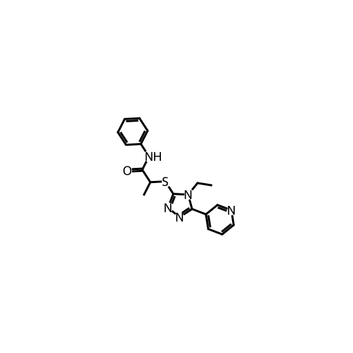 CCn1c(SC(C)C(=O)Nc2ccccc2)nnc1-c1cccnc1